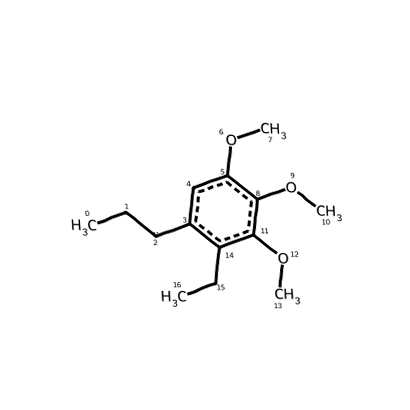 CC[C]c1cc(OC)c(OC)c(OC)c1CC